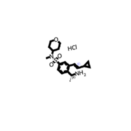 C[C@@H](N)c1ccc(S(=O)(=O)N(C)C2CCOCC2)cc1/C=C/C1CC1.Cl